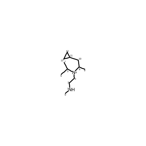 CNCCN(C(C)C)C(C)CC1CC1